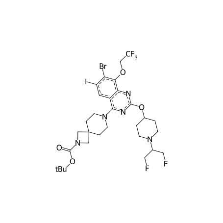 CC(C)(C)OC(=O)N1CC2(CCN(c3nc(OC4CCN(C(CF)CF)CC4)nc4c(OCC(F)(F)F)c(Br)c(I)cc34)CC2)C1